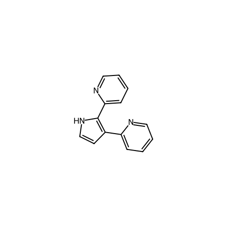 c1ccc(-c2cc[nH]c2-c2ccccn2)nc1